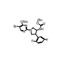 COc1nc(N2CC(NC(=O)OC(C)(C)C)C(c3cc(F)ccc3F)C2)ncc1Br